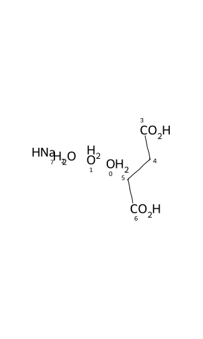 O.O.O.O=C(O)CCC(=O)O.[NaH]